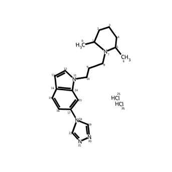 CC1CCCC(C)N1CCCn1ccc2ccc(-n3cnnc3)cc21.Cl.Cl